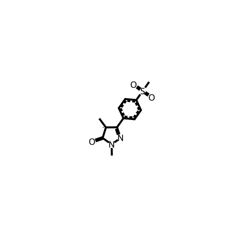 C[C]1C(=O)N(C)N=C1c1ccc(S(C)(=O)=O)cc1